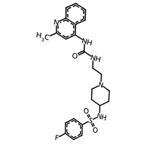 Cc1cc(NC(=O)NCCN2CCC(NS(=O)(=O)c3ccc(F)cc3)CC2)c2ccccc2n1